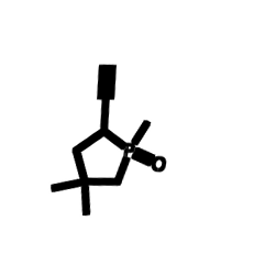 C#CC1CC(C)(C)CP1(C)=O